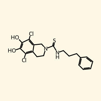 Oc1c(O)c(Cl)c2c(c1Cl)CCN(C(=S)NCCCc1ccccc1)C2